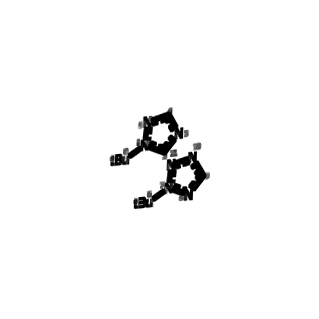 CC(C)(C)n1cncn1.CC(C)(C)n1ncnn1